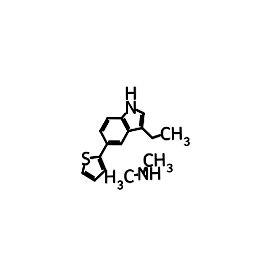 CCc1c[nH]c2ccc(-c3cccs3)cc12.CNC